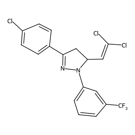 FC(F)(F)c1cccc(N2N=C(c3ccc(Cl)cc3)CC2C=C(Cl)Cl)c1